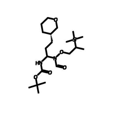 CC(CON(C=O)C(CC[C@@H]1CCCOC1)NC(=O)OC(C)(C)C)[Si](C)(C)C